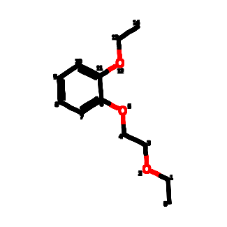 CCOCCOc1cc[c]cc1OCC